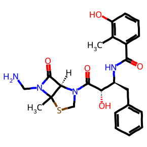 Cc1c(O)cccc1C(=O)N[C@@H](Cc1ccccc1)[C@H](O)C(=O)N1CSC2(C)[C@H]1C(=O)N2CN